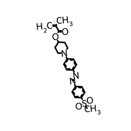 C=C(C)C(=O)OC1CCN(c2ccc(N=Nc3ccc(S(C)(=O)=O)cc3)cc2)CC1